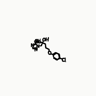 CC(C)(C)C(O)(CCCOc1ccc(Cl)cc1)Cn1ncnc1S